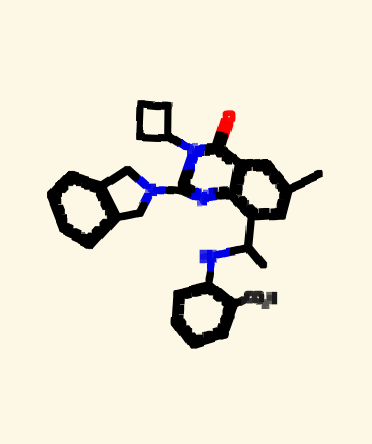 Cc1cc(C(C)Nc2ccccc2C(=O)O)c2nc(N3Cc4ccccc4C3)n(C3CCC3)c(=O)c2c1